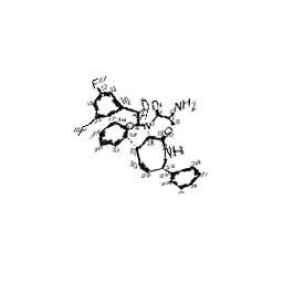 C[C@H](N)C(=O)N(C(=O)[C@@H](O)c1cc(F)cc(F)c1)[C@@H]1C(=O)N[C@@H](c2ccccc2)C=C[C@@H]1c1ccccc1